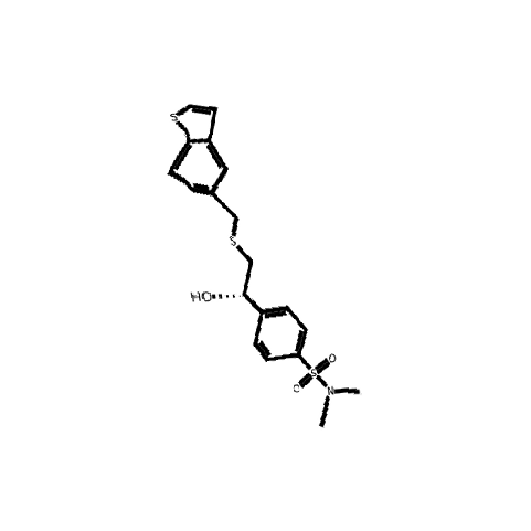 CN(C)S(=O)(=O)c1ccc([C@H](O)CSCc2ccc3sccc3c2)cc1